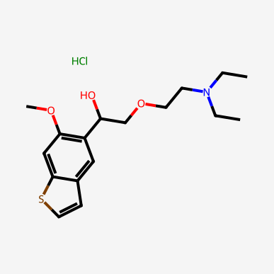 CCN(CC)CCOCC(O)c1cc2ccsc2cc1OC.Cl